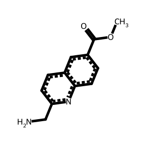 COC(=O)c1ccc2nc(CN)ccc2c1